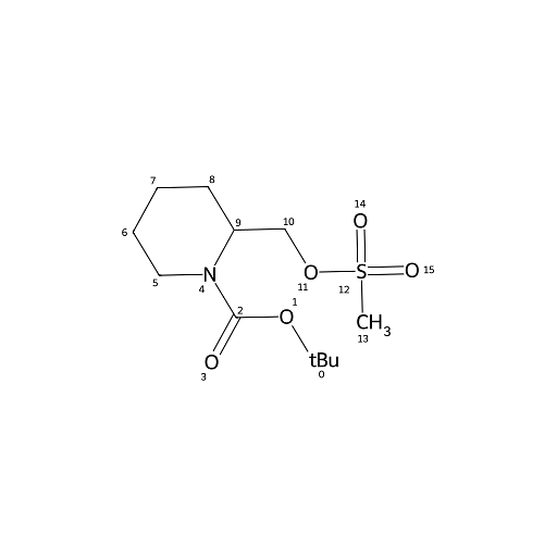 CC(C)(C)OC(=O)N1CCCCC1COS(C)(=O)=O